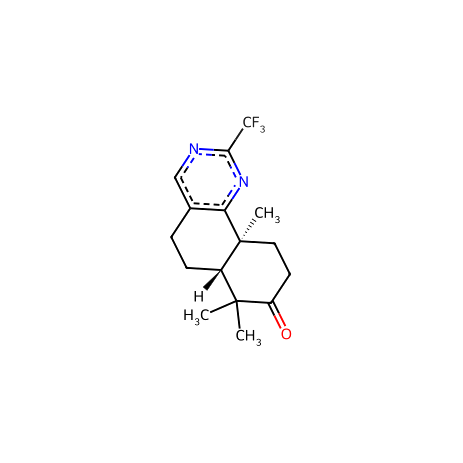 CC1(C)C(=O)CC[C@]2(C)c3nc(C(F)(F)F)ncc3CC[C@@H]12